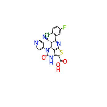 N#Cc1c(-c2cc(F)ccc2Cl)nc2sc(C(=O)O)c3c2c1N(c1ccncc1)C(=O)N3